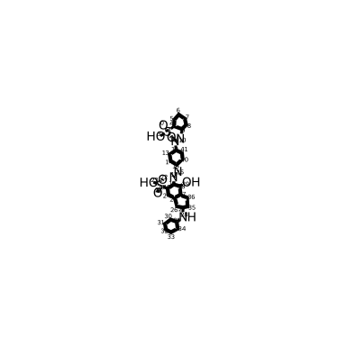 O=S(=O)(O)c1ccccc1N=Nc1ccc(N=Nc2c(S(=O)(=O)O)cc3cc(Nc4ccccc4)ccc3c2O)cc1